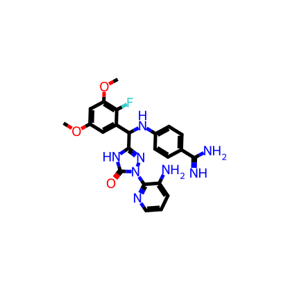 COc1cc(OC)c(F)c(C(Nc2ccc(C(=N)N)cc2)c2nn(-c3ncccc3N)c(=O)[nH]2)c1